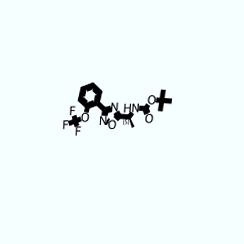 C[C@H](NC(=O)OC(C)(C)C)c1nc(-c2ccccc2OC(F)(F)F)no1